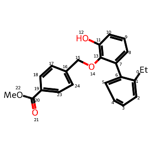 CCc1ccccc1-c1cccc(O)c1OCc1ccc(C(=O)OC)cc1